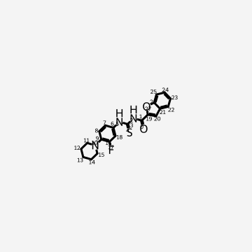 O=C(NC(=S)Nc1ccc(N2CCCCC2)c(F)c1)c1cc2ccccc2o1